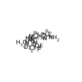 CN1C(=O)c2cccc(OC(F)F)c2[C@H]2C[C@@H]1c1nc3ccc(-c4cnc5c(c4)CCC5N)cc3n12